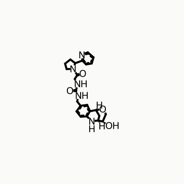 O=C(NCC(=O)N1CCCC1c1ccccn1)NCc1ccc2c(c1)[C@H]1C[C@@H](N2)[C@H](O)CO1